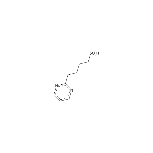 O=S(=O)(O)CCCCc1ncccn1